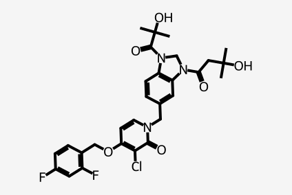 CC(C)(O)CC(=O)N1CN(C(=O)C(C)(C)O)c2ccc(Cn3ccc(OCc4ccc(F)cc4F)c(Cl)c3=O)cc21